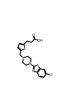 O=C(O)CCc1ccc(CN2CCN(c3nc4ccc(Cl)cc4s3)CC2)s1